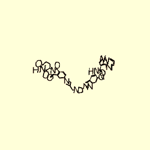 COc1cc2nn(C3CCN(CC4CN(c5ccc6c(c5)C(=O)N(C5CCC(=O)NC5=O)C6=O)C4)C3)cc2cc1NC(=O)c1cnn2cccnc12